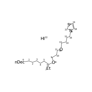 CCCCCCCCCCCCCCCC(CC)OCCCOCCCCN1C=CSC1.I